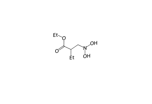 CCOC(=O)C(CC)CN(O)O